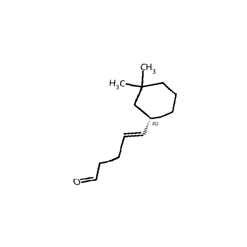 CC1(C)CCC[C@H](C=CCCC=O)C1